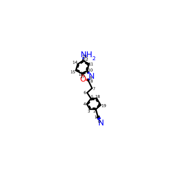 N#Cc1ccc(CCc2nc3cc(N)ccc3o2)cc1